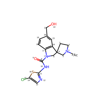 CC(=O)N1CCC2(C1)CN(C(=O)Nc1ncc(Cl)s1)c1ccc(CO)cc12